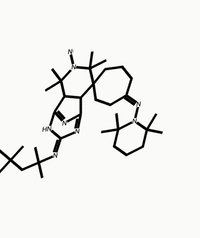 CC(C)(C)CC(C)(C)N=c1nc2nc([nH]1)C1C2C2(CCCC(=NN3C(C)(C)CCCC3(C)C)CC2)C(C)(C)N([N])C1(C)C